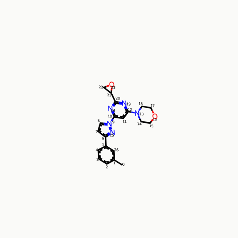 Cc1cccc(-c2ccn(-c3cc(N4CCOCC4)nc(C4CO4)n3)n2)c1